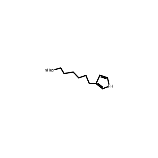 CCCCCCCCCCCCc1[c][pH]cc1